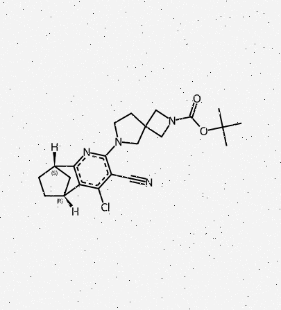 CC(C)(C)OC(=O)N1CC2(CCN(c3nc4c(c(Cl)c3C#N)[C@@H]3CC[C@H]4C3)C2)C1